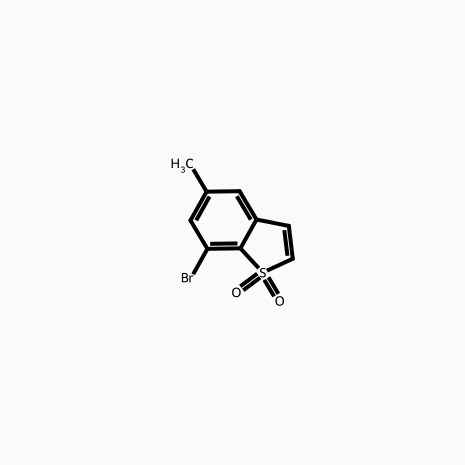 Cc1cc(Br)c2c(c1)C=CS2(=O)=O